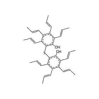 CC=Cc1c(O)c(Sc2c(O)c(C=CC)c(C=CC)c(C=CC)c2C=CC)c(C=CC)c(C=CC)c1C=CC